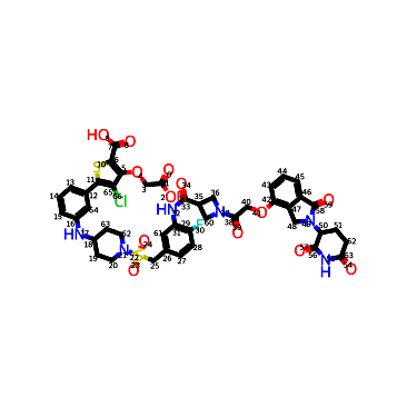 O=C(O)COc1c(C(=O)O)sc(-c2cccc(NC3CCN(S(=O)(=O)Cc4ccc(F)c(NC(=O)C5CN(C(=O)COc6cccc7c6CN(C6CCC(=O)NC6=O)C7=O)C5)c4)CC3)c2)c1Cl